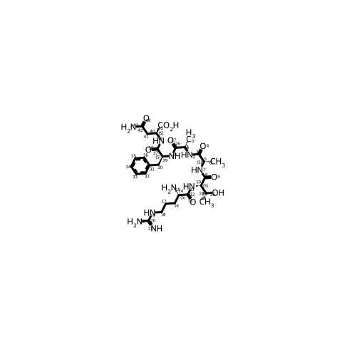 C[C@H](NC(=O)[C@H](C)NC(=O)[C@@H](NC(=O)[C@@H](N)CCCNC(=N)N)[C@@H](C)O)C(=O)N[C@@H](Cc1ccccc1)C(=O)N[C@@H](CC(N)=O)C(=O)O